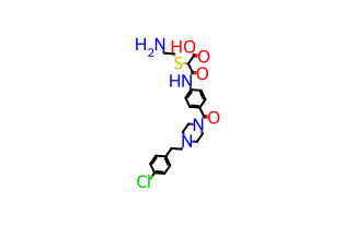 NCCS[C@@H](C(=O)O)C(=O)Nc1ccc(C(=O)N2CCN(CCc3ccc(Cl)cc3)CC2)cc1